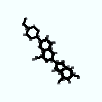 CCN1CCC(c2cc3c(F)cc(-c4cn5cc(C)nc(C)c5n4)cc3nn2)CC1